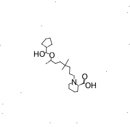 CC(CCC(C)(C)CCCN1CCCC[C@@H]1C(=O)O)O[C@@H](O)C1CCCC1